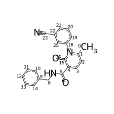 Cc1ccc(C(=O)NCc2ccccc2)c(=O)n1-c1cccc(C#N)c1